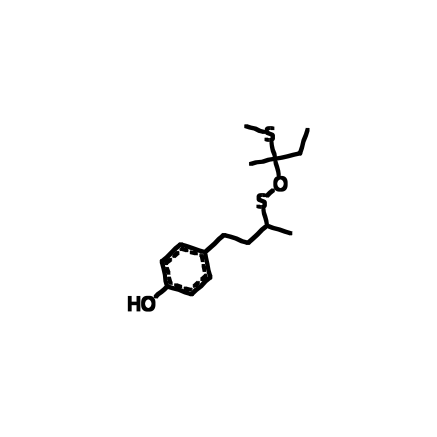 CCC(C)(OSC(C)CCc1ccc(O)cc1)SC